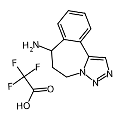 NC1CCn2nncc2-c2ccccc21.O=C(O)C(F)(F)F